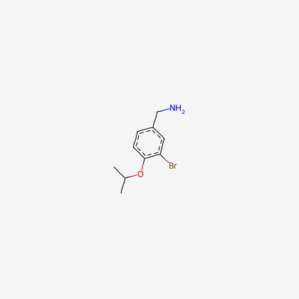 CC(C)Oc1ccc(CN)cc1Br